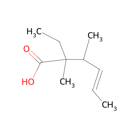 C/C=C/C(C)C(C)(CC)C(=O)O